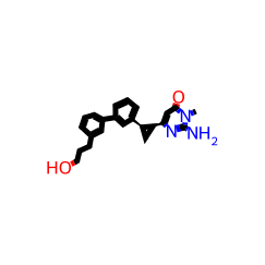 Cn1c(N)nc([C@H]2C[C@H]2c2cccc(-c3cccc(CCCO)c3)c2)cc1=O